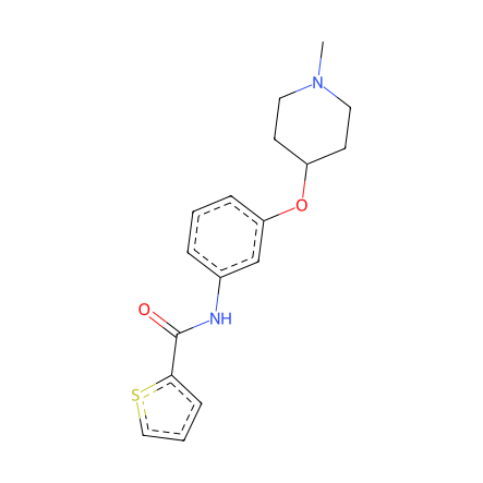 CN1CCC(Oc2cccc(NC(=O)c3cccs3)c2)CC1